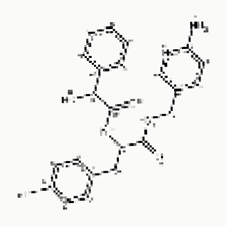 Nc1ccc(CNC(=O)C(Cc2ccc(F)cc2)NC(=O)C(O)c2ccccc2)cn1